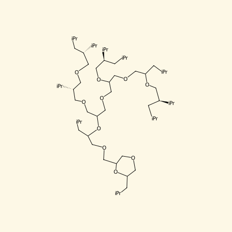 CC(C)CC(COCC(COCC(COC[C@@H](COC[C@H](CC(C)C)C(C)C)C(C)C)OC(COCC1COCC(CC(C)C)O1)CC(C)C)OC[C@H](CC(C)C)C(C)C)OC[C@H](CC(C)C)C(C)C